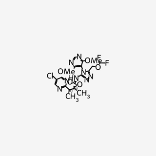 COc1ncnc(OC)c1-n1c(COC(F)F)nnc1NS(=O)(=O)[C@@H](C)[C@H](C)c1ncc(Cl)cn1